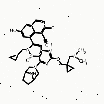 C#Cc1c(F)ccc2cc(O)cc(C3=Cc4nc(OCC5(CN(C)C)CC5)nc(N5CC6CCC(C5)N6)c4[S+]([O-])N3CC3CC3)c12